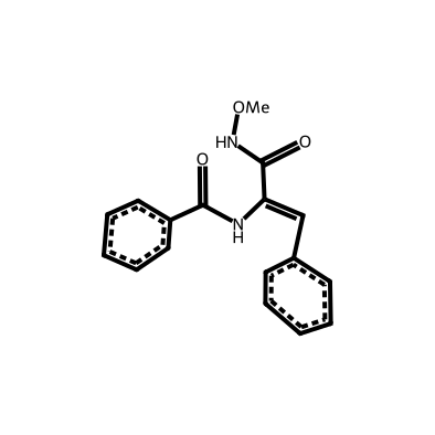 CONC(=O)/C(=C/c1ccccc1)NC(=O)c1ccccc1